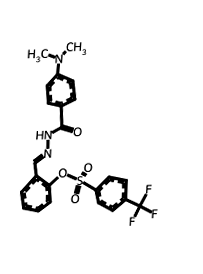 CN(C)c1ccc(C(=O)N/N=C/c2ccccc2OS(=O)(=O)c2ccc(C(F)(F)F)cc2)cc1